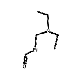 CCN(CC)CNC=O